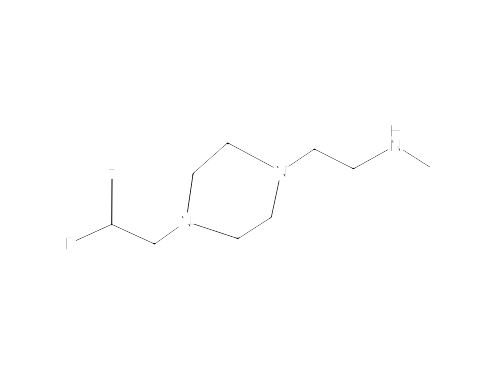 CNCCN1CCN(CC(F)F)CC1